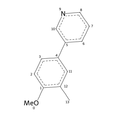 COc1ccc(-c2cccnc2)cc1C